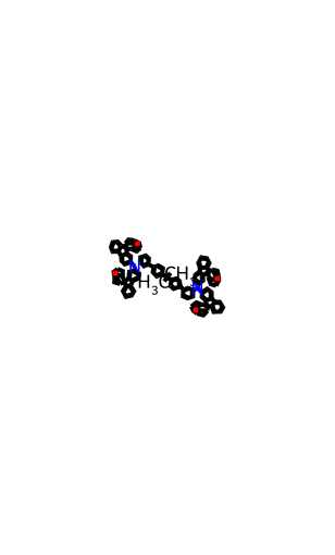 CC(C)(c1ccc(-c2cccc(N(c3ccc4c(c3)C3(c5ccccc5-4)C4CC5CC(C4)CC3C5)c3ccc4c(c3)C3(c5ccccc5-4)C4CC5CC(C4)CC3C5)c2)cc1)c1ccc(-c2cccc(N(c3ccc4c(c3)C3(c5ccccc5-4)C4CC5CC(C4)CC3C5)c3ccc4c(c3)C3(c5ccccc5-4)C4CC5CC(C4)CC3C5)c2)cc1